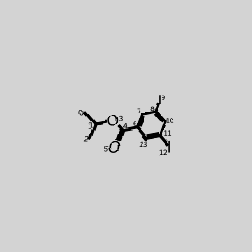 CC(C)OC(=O)c1cc(I)cc(I)c1